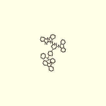 c1ccc(S(c2ccccc2)(c2ccc(-c3cc(-n4c5ccccc5c5ccccc54)nc(-n4c5ccccc5n5c6ccccc6nc45)c3)cc2)c2cccc3c2sc2ccccc23)cc1